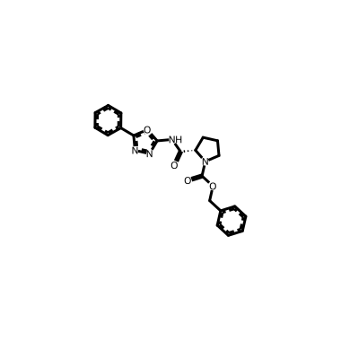 O=C(Nc1nnc(-c2ccccc2)o1)[C@@H]1CCCN1C(=O)OCc1ccccc1